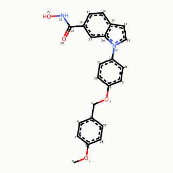 COc1ccc(COc2ccc(-n3ccc4ccc(C(=O)NO)cc43)cc2)cc1